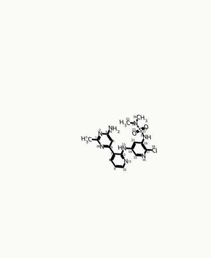 Cc1nc(N)cc(-c2cccnc2Nc2cnc(Cl)c(NS(=O)(=O)N(C)C)c2)n1